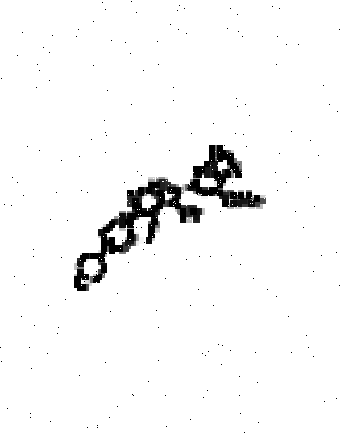 COc1cc(-c2[nH]c3cnc(N4CCN(C5CCOCC5)C[C@H]4C)c(F)c3c2C(C)C)cn2ncnc12